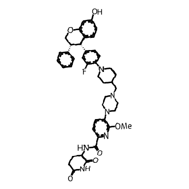 COc1nc(C(=O)NC2CCC(=O)NC2=O)ccc1N1CCN(CC2CCN(c3ccc([C@H]4c5ccc(O)cc5OC[C@H]4c4ccccc4)cc3F)CC2)CC1